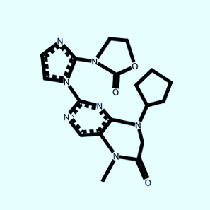 CN1C(=O)CN(C2CCCC2)c2nc(-n3ccnc3N3CCOC3=O)ncc21